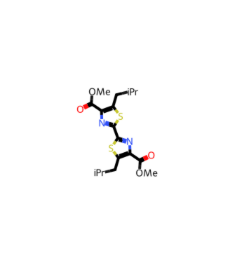 COC(=O)c1nc(-c2nc(C(=O)OC)c(CC(C)C)s2)sc1CC(C)C